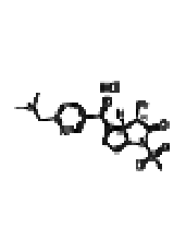 CC(C)[C@H]1C(=O)N(S(C)(=O)=O)C2=CCN(C(=O)c3ccc(CN(C)C)nc3)[C@@H]21.Cl